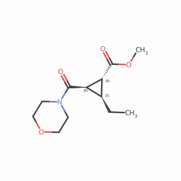 CC[C@@H]1[C@@H](C(=O)OC)[C@@H]1C(=O)N1CCOCC1